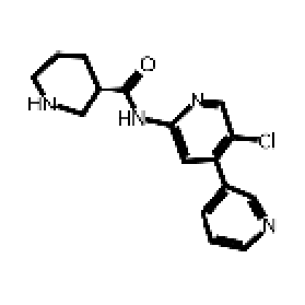 O=C(Nc1cc(-c2cccnc2)c(Cl)cn1)[C@@H]1CCCNC1